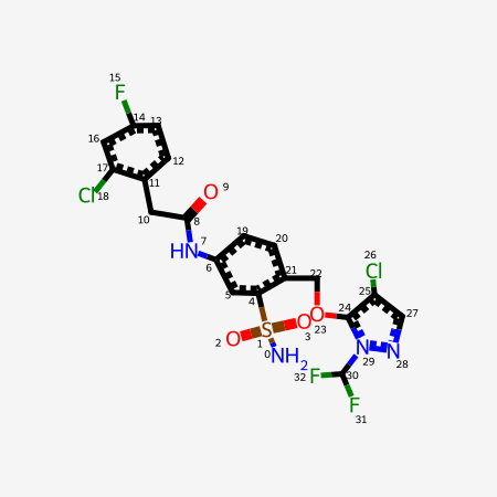 NS(=O)(=O)c1cc(NC(=O)Cc2ccc(F)cc2Cl)ccc1COc1c(Cl)cnn1C(F)F